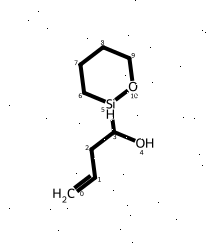 C=CCC(O)[SiH]1CCCCO1